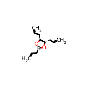 C=CCB1O[C@@H](CC=C)[C@H](CC=C)O1